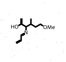 C=C/C=N/C(C(=C)O)C(C)CCOC